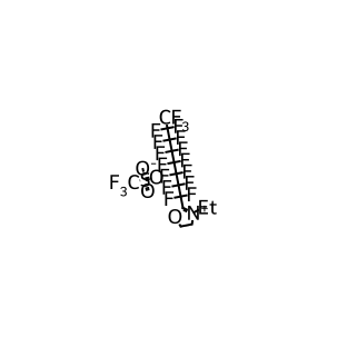 CC[N+]1=C(C(F)(F)C(F)(F)C(F)(F)C(F)(F)C(F)(F)C(F)(F)C(F)(F)C(F)(F)F)OCC1.O=S(=O)([O-])C(F)(F)F